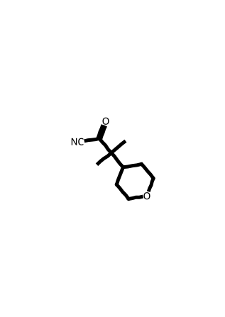 CC(C)(C(=O)C#N)C1CCOCC1